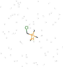 C[PH](C)(C)CCl